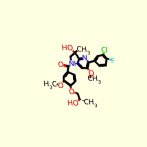 COc1cc(C(=O)NCC(C)(O)c2ccc(OC)c(-c3ccc(F)c(Cl)c3)n2)ccc1OC[C@H](C)O